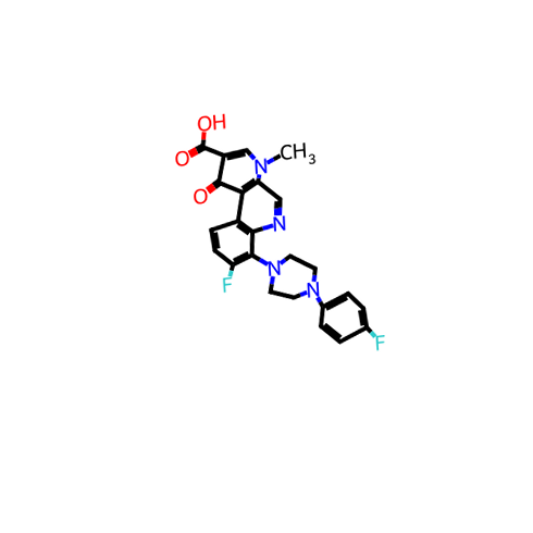 Cn1cc(C(=O)O)c(=O)c2c3ccc(F)c(N4CCN(c5ccc(F)cc5)CC4)c3ncc21